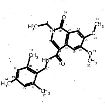 CCn1cc(C(=O)NCc2c(C)cc(C)cc2C)c2cc(OC)c(OC)cc2c1=O